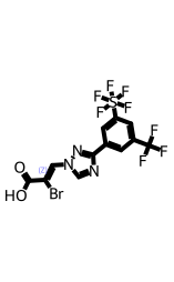 O=C(O)/C(Br)=C/n1cnc(-c2cc(C(F)(F)F)cc(S(F)(F)(F)(F)F)c2)n1